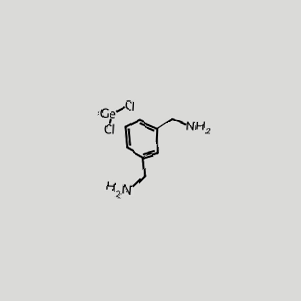 NCc1cccc(CN)c1.[Cl][Ge][Cl]